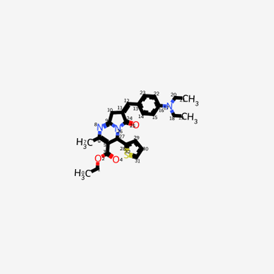 CCOC(=O)C1=C(C)N=C2C/C(=C/c3ccc(N(CC)CC)cc3)C(=O)N2C1c1cccs1